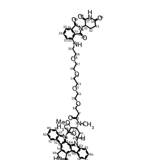 CO[C@@H]1[C@H](N(C)C(=O)CCOCCOCCOCCOCCNc2cccc3c2C(=O)N(C2CCC(=O)NC2=O)C3=O)C[C@H]2O[C@]1(C)n1c3ccccc3c3c4c(c5c6ccccc6n2c5c31)C(=O)NC4